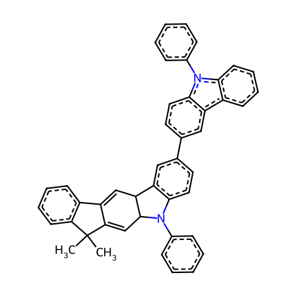 CC1(C)C2=CC3C(C=C2c2ccccc21)c1cc(-c2ccc4c(c2)c2ccccc2n4-c2ccccc2)ccc1N3c1ccccc1